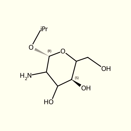 CC(C)O[C@@H]1OC(CO)[C@@H](O)C(O)C1N